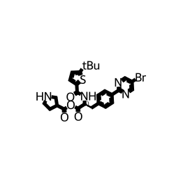 CC(C)(C)c1ccc(C(=O)N[C@@H](Cc2ccc(-c3ncc(Br)cn3)cc2)C(=O)OC(=O)C2CCNC2)s1